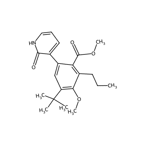 CCCc1c(OC)c(C(C)(C)C)cc(-c2ccc[nH]c2=O)c1C(=O)OC